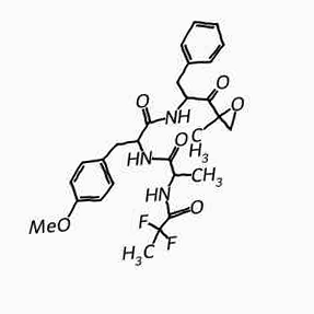 COc1ccc(CC(NC(=O)C(C)NC(=O)C(C)(F)F)C(=O)NC(Cc2ccccc2)C(=O)C2(C)CO2)cc1